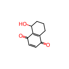 O=C1C=CC(=O)C2=C1CCCC2O